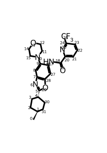 C[C@H]1CC[C@H](c2nc3cc(N4CCOCC4)c(NC(=O)c4cccc(C(F)(F)F)n4)cc3o2)CC1